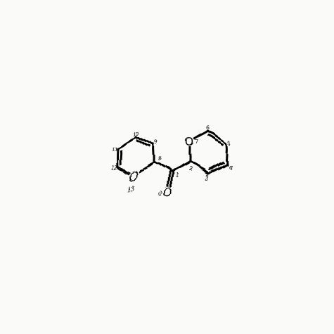 O=C(C1C=CC=CO1)C1C=CC=CO1